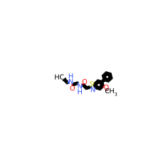 C#CCNC(=O)CNC(=O)Cc1nc2cc(OC)c(-c3ccccc3)cc2s1